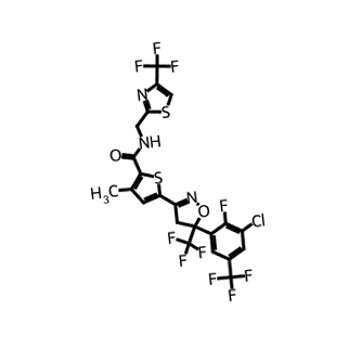 Cc1cc(C2=NOC(c3cc(C(F)(F)F)cc(Cl)c3F)(C(F)(F)F)C2)sc1C(=O)NCc1nc(C(F)(F)F)cs1